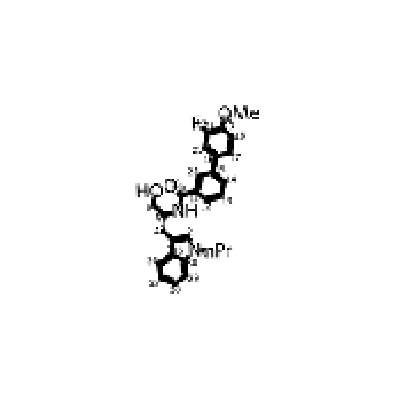 CCCn1cc(C[C@H](CO)NC(=O)c2cccc(-c3ccc(OC)c(F)c3)c2)c2ccccc21